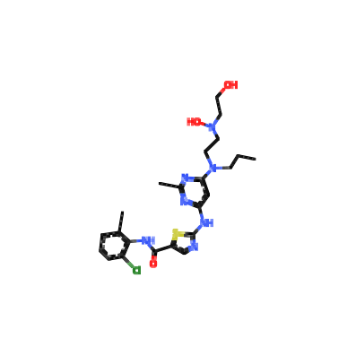 CCCN(CCN(O)CCO)c1cc(Nc2ncc(C(=O)Nc3c(C)cccc3Cl)s2)nc(C)n1